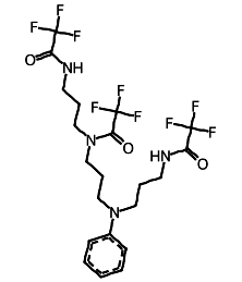 O=C(NCCCN(CCCN(CCCNC(=O)C(F)(F)F)c1ccccc1)C(=O)C(F)(F)F)C(F)(F)F